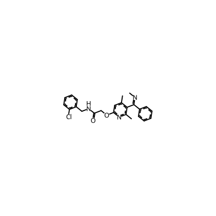 C/N=C(/c1ccccc1)c1c(C)cc(OCC(=O)NCc2ccccc2Cl)nc1C